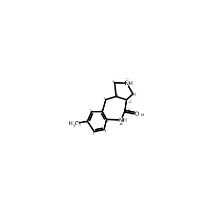 Cc1ccc2c(c1)CC1CNCC1C(=O)N2